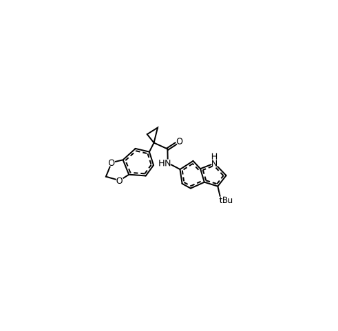 CC(C)(C)c1c[nH]c2cc(NC(=O)C3(c4ccc5c(c4)OCO5)CC3)ccc12